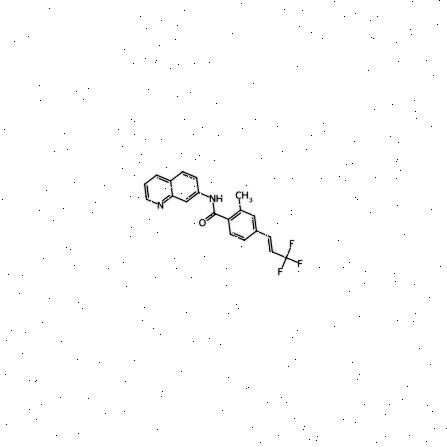 Cc1cc(/C=C/C(F)(F)F)ccc1C(=O)Nc1ccc2cccnc2c1